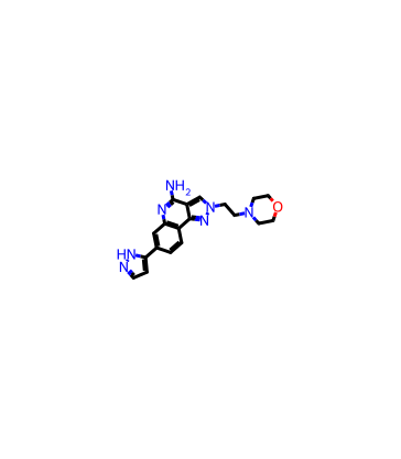 Nc1nc2cc(-c3ccn[nH]3)ccc2c2nn(CCN3CCOCC3)cc12